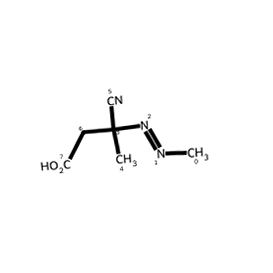 CN=NC(C)(C#N)CC(=O)O